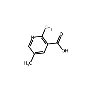 Cc1cnc(C)c(C(=O)O)c1